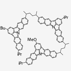 COc1cc2c3cc4cc(C(C)C)ccc4cc3n3c4cc5ccc(C(C)CCC(C)c6ccc7cc8c(cc7c6)c6cc(C(C)C)cc7c9cc%10cc(C(C)CCC(C)c%11ccc%12cc%13c(cc%12c%11)c%11cc(C(C)(C)C)cc%12c%14cc%15cc(C(C)C)ccc%15cc%14n%13c%12%11)ccc%10cc9n8c67)cc5cc4c(c1)c23